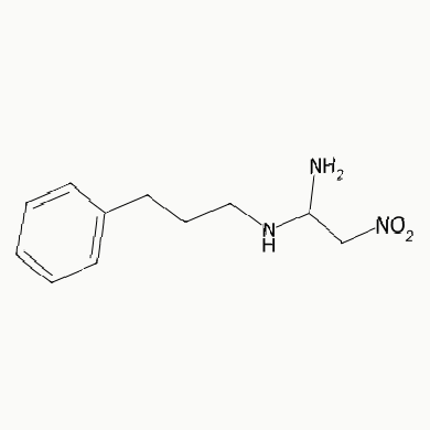 NC(C[N+](=O)[O-])NCCCc1ccccc1